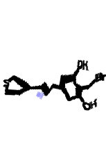 Oc1cc(/C=C/c2ccsc2)cc(O)c1Br